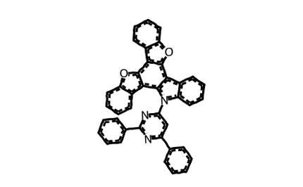 c1ccc(-c2cc(-n3c4ccccc4c4c5oc6ccccc6c5c5oc6ccccc6c5c43)nc(-c3ccccc3)n2)cc1